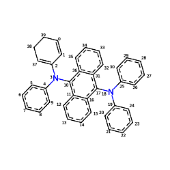 C1=CC(N(c2ccccc2)c2c3ccccc3c(N(c3ccccc3)c3ccccc3)c3ccccc23)=CCC1